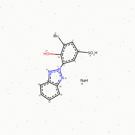 CCC(C)c1cc(S(=O)(=O)O)cc(-n2nc3ccccc3n2)c1O.[NaH]